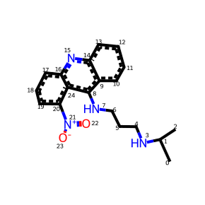 CC(C)NCCCNc1c2ccccc2nc2cccc([N+](=O)[O-])c12